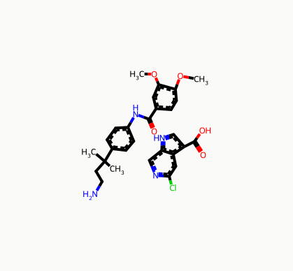 COc1ccc(C(=O)Nc2ccc(C(C)(C)CCN)cc2)cc1OC.O=C(O)c1c[nH]c2cnc(Cl)cc12